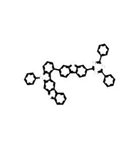 c1ccc(-c2nc(-c3ccccc3)nc(-c3ccc4c(c3)sc3cc(-c5cccc6c5c5cc7c(cc5n6-c5ccccc5)sc5ccccc57)ccc34)n2)cc1